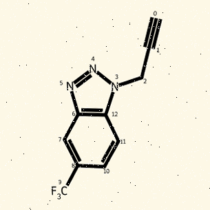 C#CCn1nnc2cc(C(F)(F)F)ccc21